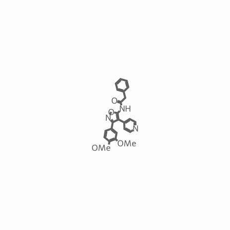 COc1ccc(-c2noc(NC(=O)Cc3ccccc3)c2-c2ccncc2)cc1OC